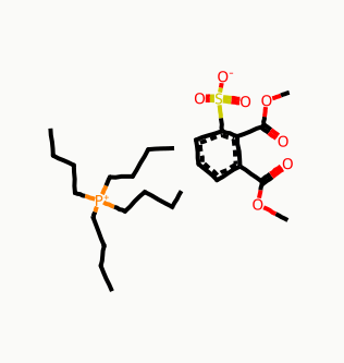 CCCC[P+](CCCC)(CCCC)CCCC.COC(=O)c1cccc(S(=O)(=O)[O-])c1C(=O)OC